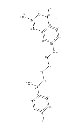 Cc1ccc([S+]([O-])CCCCOc2ccc3c(c2)N=C(O)OC3(C)C)cc1